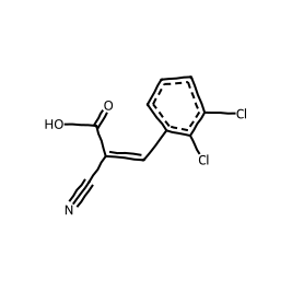 N#CC(=Cc1cccc(Cl)c1Cl)C(=O)O